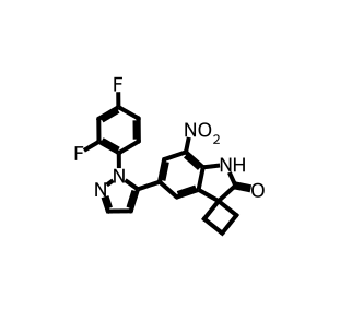 O=C1Nc2c([N+](=O)[O-])cc(-c3ccnn3-c3ccc(F)cc3F)cc2C12CCC2